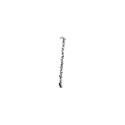 CCCOCCOCCOCCOCCOCCOCCOCCOCCOCCOCCOCCN=[N+]=[N-]